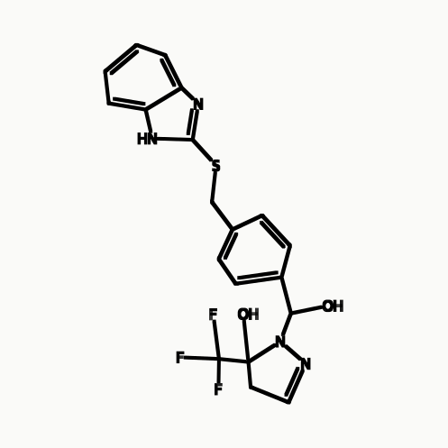 OC(c1ccc(CSc2nc3ccccc3[nH]2)cc1)N1N=CCC1(O)C(F)(F)F